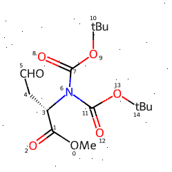 COC(=O)[C@H](CC=O)N(C(=O)OC(C)(C)C)C(=O)OC(C)(C)C